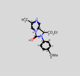 CCOC(=O)C1c2cnc(C)c[n+]2C(=O)N1c1ccc(OC)cc1